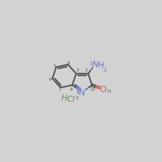 Cl.NC1=c2ccccc2=NC1=O